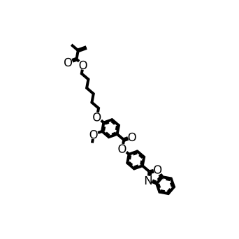 C=C(C)C(=O)OCCCCCCOc1ccc(C(=O)Oc2ccc(-c3nc4ccccc4o3)cc2)cc1OC